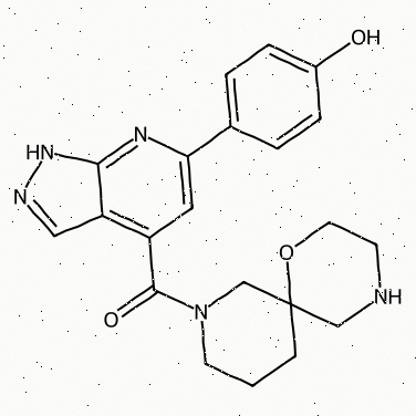 O=C(c1cc(-c2ccc(O)cc2)nc2[nH]ncc12)N1CCCC2(CNCCO2)C1